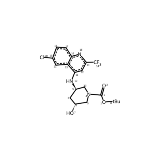 CC(C)(C)OC(=O)N1C[C@H](O)C[C@@H](Nc2cc(C(F)(F)F)nc3ccc(Cl)cc23)C1